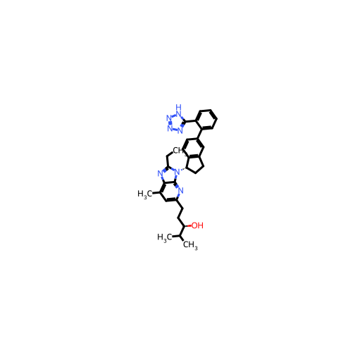 CCc1nc2c(C)cc(CC[C@@H](O)C(C)C)nc2n1[C@H]1CCc2cc(-c3ccccc3-c3nnn[nH]3)ccc21